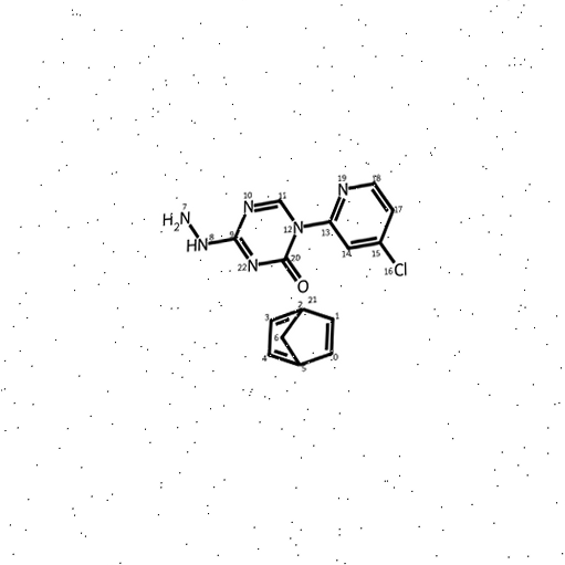 C1=CC2=CC=C1C2.NNc1ncn(-c2cc(Cl)ccn2)c(=O)n1